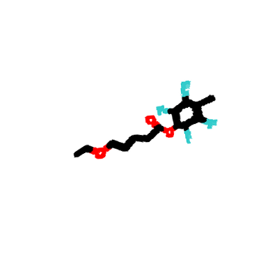 CCOCCCCC(=O)Oc1c(F)c(F)c(C)c(F)c1F